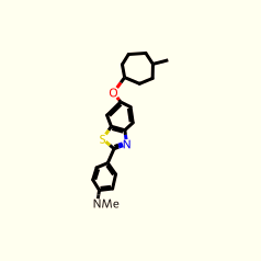 CNc1ccc(-c2nc3ccc(OC4CCCC(C)CC4)cc3s2)cc1